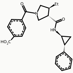 CC[C@@H]1CN(C(=O)c2ccc(C(=O)O)cc2)C[C@H]1C(=O)N[C@H]1C[C@@H]1c1ccccc1